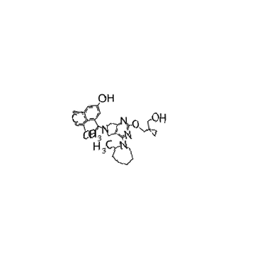 Cc1cccc2cc(O)cc(C(=O)N3Cc4nc(OCC5(CO)CC5)nc(N5CCCCCC5C)c4C3)c12